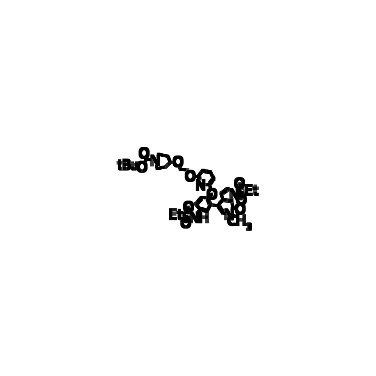 CCS(=O)(=O)Nc1ccc(Oc2cccc(OCCOC3CCN(C(=O)OC(C)(C)C)CC3)n2)c(-c2cn(C)c(=O)c3c2ccn3S(=O)(=O)CC)c1